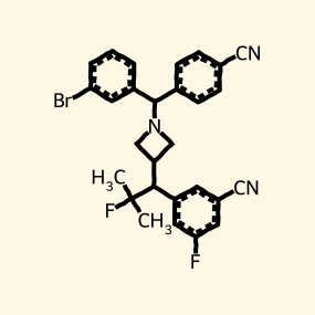 CC(C)(F)C(c1cc(F)cc(C#N)c1)C1CN(C(c2ccc(C#N)cc2)c2cccc(Br)c2)C1